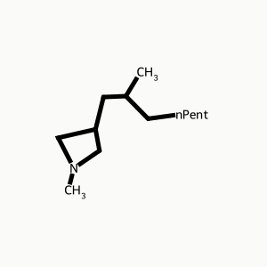 CCCCCCC(C)CC1CN(C)C1